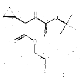 CC(C)(C)OC(=O)NC(C(=O)OCCS)C1CC1